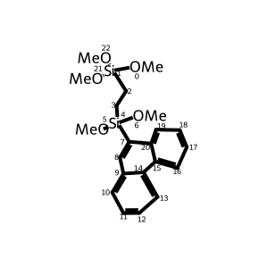 CO[Si](CC[Si](OC)(OC)c1cc2ccccc2c2ccccc12)(OC)OC